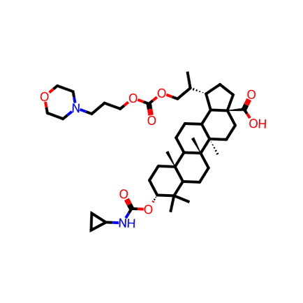 CC(COC(=O)OCCCN1CCOCC1)[C@@H]1CC[C@]2(C(=O)O)CC[C@]3(C)C(CCC4[C@@]5(C)CC[C@@H](OC(=O)NC6CC6)C(C)(C)C5CC[C@]43C)C12